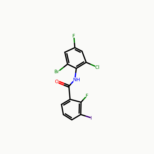 O=C(Nc1c(Cl)cc(F)cc1Br)c1cccc(I)c1F